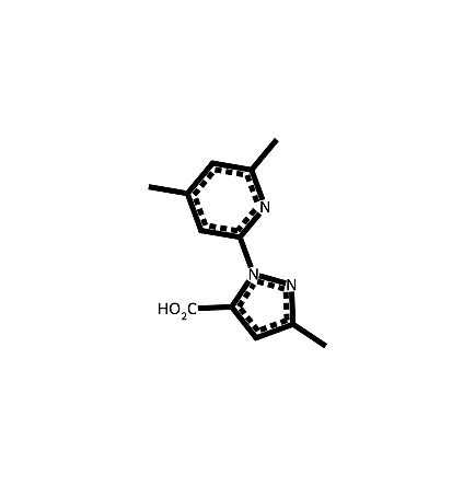 Cc1cc(C)nc(-n2nc(C)cc2C(=O)O)c1